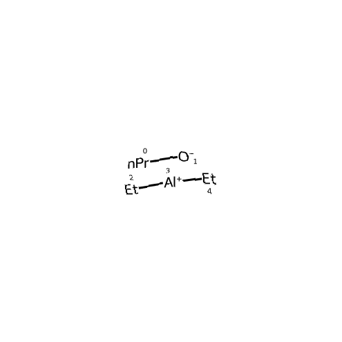 CCC[O-].C[CH2][Al+][CH2]C